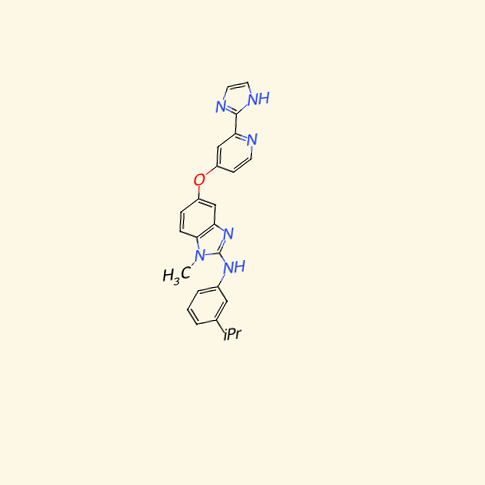 CC(C)c1cccc(Nc2nc3cc(Oc4ccnc(-c5ncc[nH]5)c4)ccc3n2C)c1